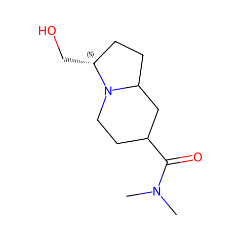 CN(C)C(=O)C1CCN2C(CC[C@H]2CO)C1